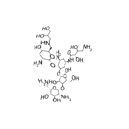 NC[C@@H]1O[C@H](O[C@H]2[C@@H](O)[C@H](O[C@@H]3[C@@H](O)[C@H](NC(=O)[C@@H](O)[C@@H](O)CN)C[C@H](N)[C@H]3O[C@H]3O[C@H](CNCC(O)CO)[C@@H](O)C[C@H]3N)O[C@@H]2CO)[C@H](N)[C@@H](O)[C@@H]1O